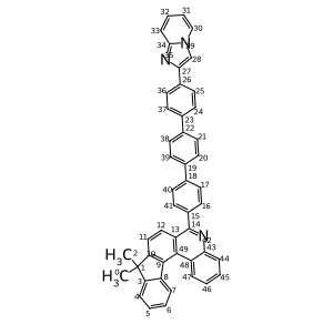 CC1(C)c2ccccc2-c2c1ccc1c(-c3ccc(-c4ccc(-c5ccc(-c6cn7ccccc7n6)cc5)cc4)cc3)nc3ccccc3c21